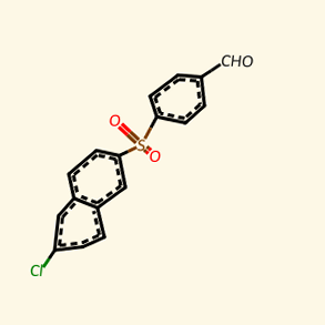 O=Cc1ccc(S(=O)(=O)c2ccc3cc(Cl)ccc3c2)cc1